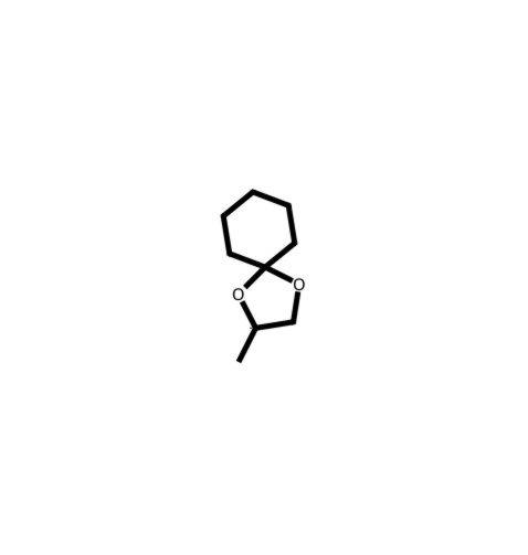 C[C]1COC2(CCCCC2)O1